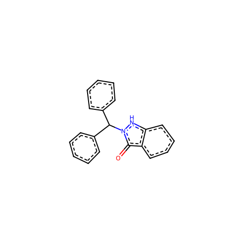 O=c1c2ccccc2[nH]n1C(c1ccccc1)c1ccccc1